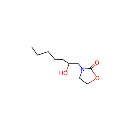 CCCCCC(O)CN1CCOC1=O